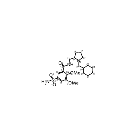 COc1cc(S(N)(=O)=O)cc(C(=O)NCC2CCCN2CC2CCCCC2)c1OC